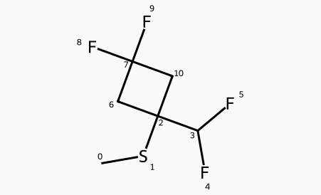 CSC1(C(F)F)CC(F)(F)C1